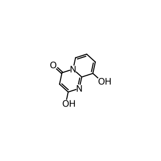 O=c1cc(O)nc2c(O)cccn12